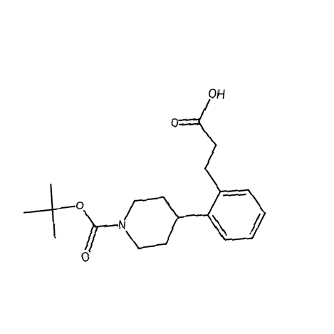 CC(C)(C)OC(=O)N1CCC(c2ccccc2CCC(=O)O)CC1